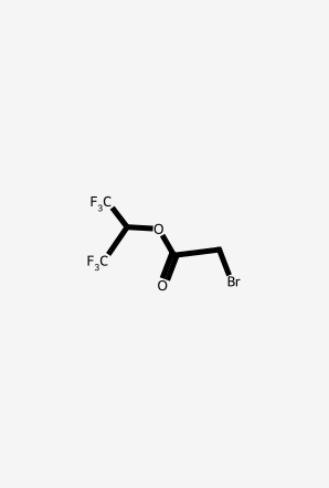 O=C(CBr)OC(C(F)(F)F)C(F)(F)F